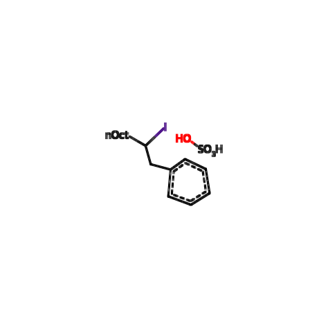 CCCCCCCCC(I)Cc1ccccc1.O=S(=O)(O)O